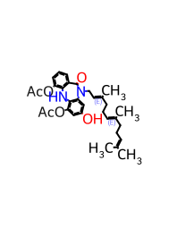 CC(=O)Oc1cccc2c1Nc1c(OC(C)=O)cc(O)cc1N(C/C=C(\C)CC/C=C(\C)CCC=C(C)C)C2=O